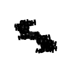 C[C@@H]1CC[C@]2(C(=O)O[C@@H]3O[C@H](CO)[C@@H](O)[C@H](O)[C@H]3O)CC[C@]3(C)C(=CC[C@@H]4[C@@]5(C)CC[C@H](O[C@@H]6OC[C@H](O)[C@H](O[C@@H]7O[C@H](CO)[C@@H](O)[C@H](O)[C@H]7O)[C@H]6O)C(C)(C)[C@@H]5CC[C@]43C)[C@@H]2[C@]1(C)O